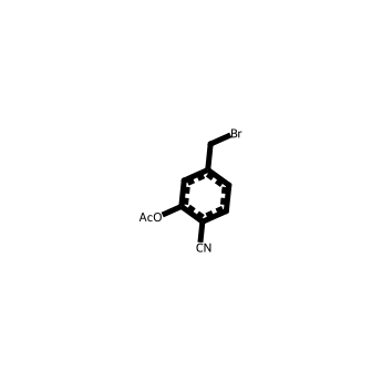 CC(=O)Oc1cc(CBr)ccc1C#N